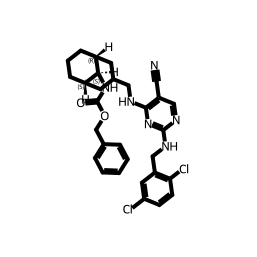 N#Cc1cnc(NCc2cc(Cl)ccc2Cl)nc1NCC1C[C@H]2CCC[C@@H](C1)[C@@H]2NC(=O)OCc1ccccc1